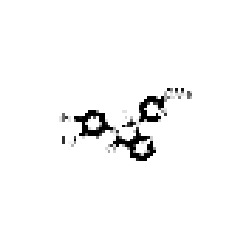 CCCc1ccc(NC(=O)c2cccnc2N(C)c2ccc(OC)nc2)cc1C(F)(F)F